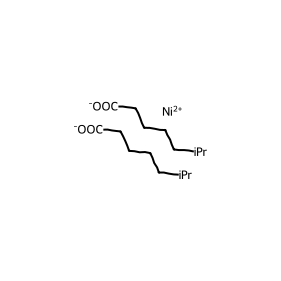 CC(C)CCCCC(=O)[O-].CC(C)CCCCC(=O)[O-].[Ni+2]